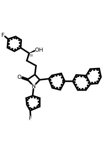 O=C1C(CC[C@H](O)c2ccc(F)cc2)C(c2ccc(-c3ccc4ccccc4c3)cc2)N1c1ccc(F)cc1